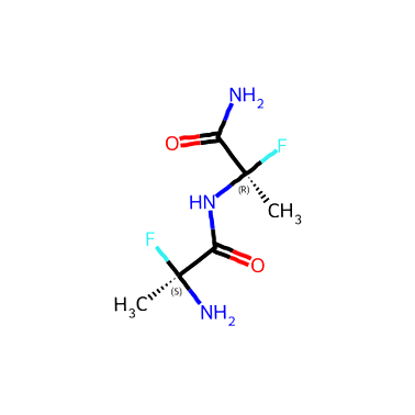 C[C@](N)(F)C(=O)N[C@](C)(F)C(N)=O